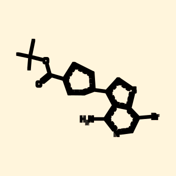 CC(C)(C)OC(=O)c1ccc(-c2csc3c(Br)cnc(N)c23)cc1